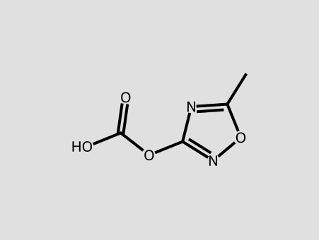 Cc1nc(OC(=O)O)no1